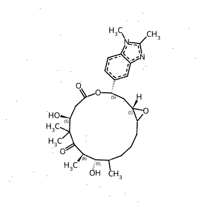 Cc1nc2cc([C@@H]3C[C@@H]4OC4CCCC(C)[C@H](O)[C@@H](C)C(=O)C(C)(C)[C@@H](O)CC(=O)O3)ccc2n1C